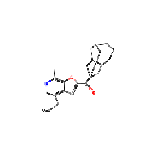 COCc1cnc(C)c2oc(C(=O)C34CC5CCCC(C3)C(C5)C4)cc12